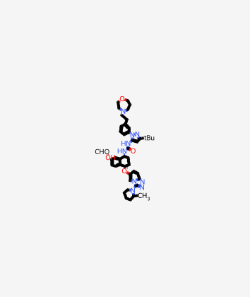 CC1CCCCN1c1nnc2ccc(O[C@@H]3CC[C@H](NC(=O)Nc4cc(C(C)(C)C)nn4-c4cccc(CCN5CCCOCC5)c4)c4ccccc43)cn12.O=CO